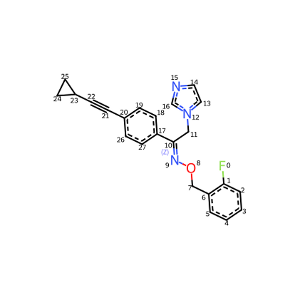 Fc1ccccc1CO/N=C(\Cn1ccnc1)c1ccc(C#CC2CC2)cc1